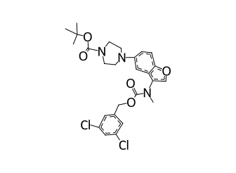 CN(C(=O)OCc1cc(Cl)cc(Cl)c1)c1coc2ccc(N3CCN(C(=O)OC(C)(C)C)CC3)cc12